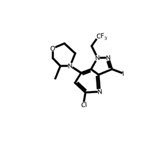 CC1COCCN1c1cc(Cl)nc2c(I)nn(CC(F)(F)F)c12